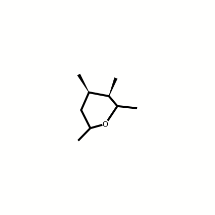 CC1C[C@@H](C)[C@@H](C)C(C)O1